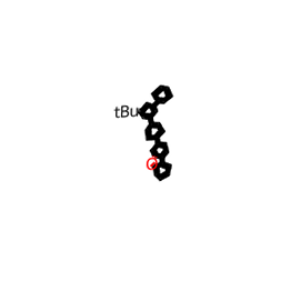 CC(C)(C)c1cc(-c2ccccc2)cc(-c2ccc(-c3ccc4c(c3)oc3ccccc34)cc2)c1